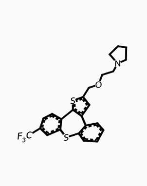 FC(F)(F)c1ccc2c(c1)Sc1ccccc1-c1cc(COCCN3CCCC3)sc1-2